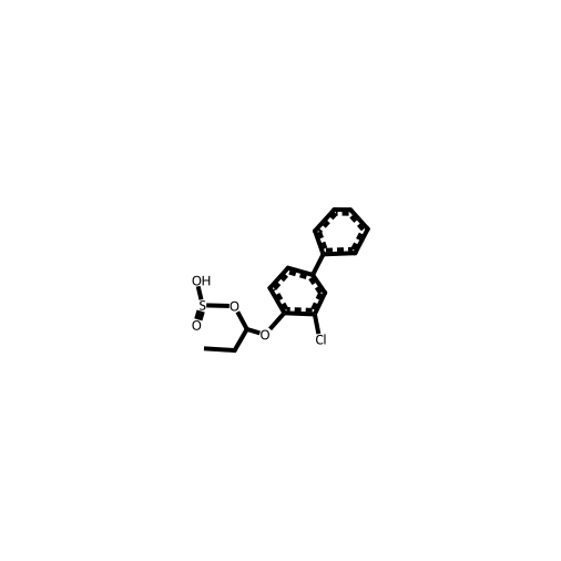 CCC(Oc1ccc(-c2ccccc2)cc1Cl)OS(=O)O